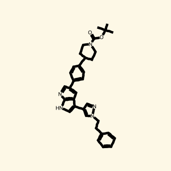 CC(C)(C)OC(=O)N1CCC(c2ccc(-c3cnc4[nH]cc(-c5cnn(CCc6ccccc6)c5)c4c3)cc2)CC1